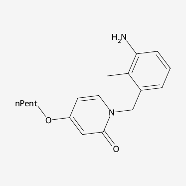 CCCCCOc1ccn(Cc2cccc(N)c2C)c(=O)c1